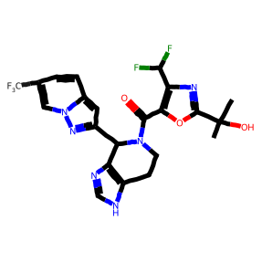 CC(C)(O)c1nc(C(F)F)c(C(=O)N2CCc3[nH]cnc3C2c2cc3ccc(C(F)(F)F)cn3n2)o1